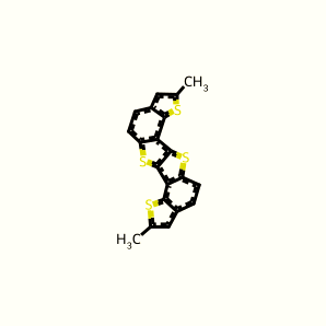 Cc1cc2ccc3sc4c(sc5ccc6cc(C)sc6c54)c3c2s1